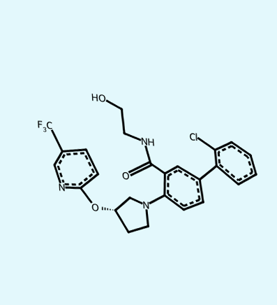 O=C(NCCO)c1cc(-c2ccccc2Cl)ccc1N1CC[C@H](Oc2ccc(C(F)(F)F)cn2)C1